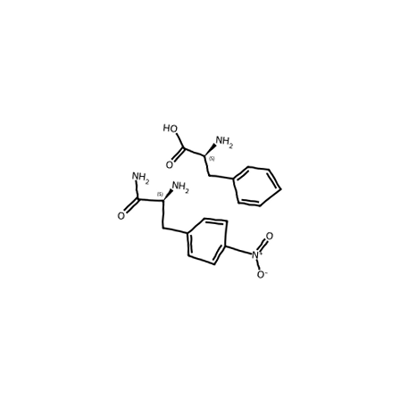 NC(=O)[C@@H](N)Cc1ccc([N+](=O)[O-])cc1.N[C@@H](Cc1ccccc1)C(=O)O